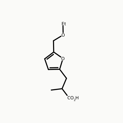 CCOCc1ccc(CC(C)C(=O)O)o1